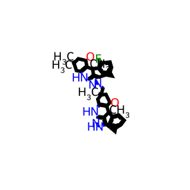 CC1(C)CC(=O)C2=C(C1)Nc1nn(CC3(C)CC(=O)C4=C(C3)Nc3n[nH]c(C5CC5)c3[C@@]4(C)c3ccccc3)c(C3CC3)c1C2(C)c1ccccc1F